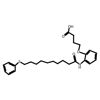 O=C(O)CCCOc1ccccc1NC(=O)CCCCCCCCCSc1ccccc1